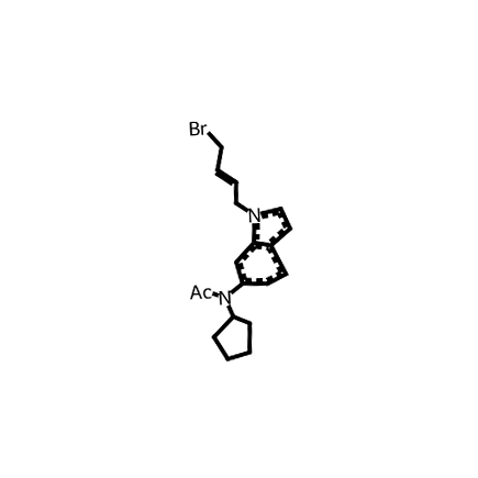 CC(=O)N(c1ccc2ccn(CC=CCBr)c2c1)C1CCCC1